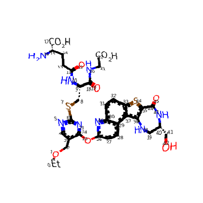 CCOCc1cnc(SC[C@H](NC(=O)CC[C@H](N)C(=O)O)C(=O)NCC(=O)O)nc1Oc1ccc2c(ccc3sc4c(c32)NC[C@@H](CO)NC4=O)n1